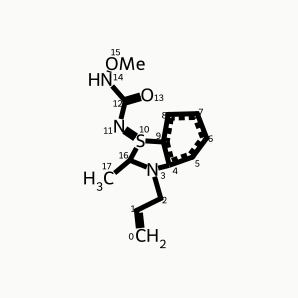 C=CCN1c2ccccc2S(=NC(=O)NOC)C1C